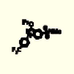 CNS(=O)(=O)c1ccc2c(c1)c(OC(C)C)nn2-c1ccc(C(F)(F)F)cc1